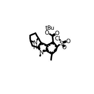 Cc1cc(S(=O)(=O)Cl)c(C(=O)OC(C)(C)C)c2c3c(n(C)c12)CC1CCC3N1